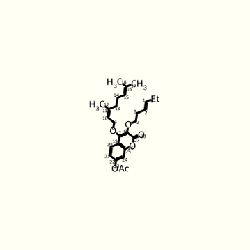 CCC=CCCOc1c(OCC=C(C)CCC=C(C)C)c2ccc(OC(C)=O)cc2oc1=O